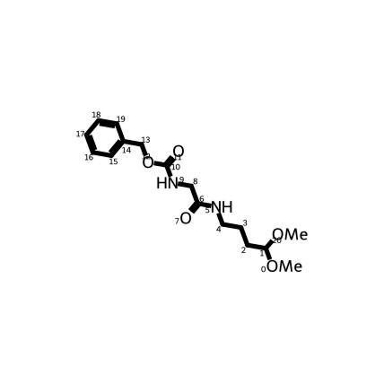 COC(CCCNC(=O)CNC(=O)OCc1ccccc1)OC